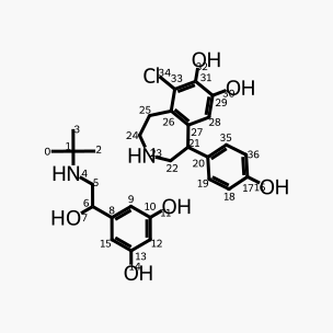 CC(C)(C)NCC(O)c1cc(O)cc(O)c1.Oc1ccc(C2CNCCc3c2cc(O)c(O)c3Cl)cc1